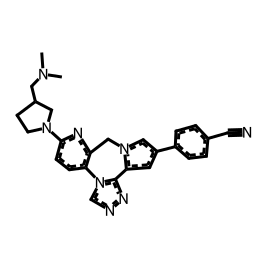 CN(C)CC1CCN(c2ccc3c(n2)Cn2cc(-c4ccc(C#N)cc4)cc2-c2nncn2-3)C1